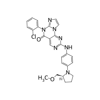 COC[C@@H]1CCCN1c1ccc(Nc2ncc3c(=O)n(-c4ccccc4Cl)c4nccn4c3n2)cc1